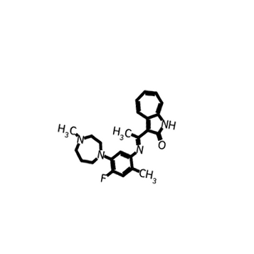 C/C(=N\c1cc(N2CCCN(C)CC2)c(F)cc1C)c1c2cccccc-2[nH]c1=O